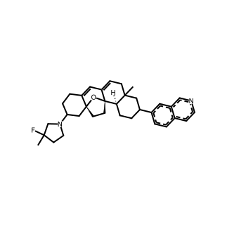 CC1(F)CCN(C2CCC3=CC4=CCC5(C)CC(c6ccc7ccncc7c6)CC[C@H]5[C@@]45CC[C@]3(C2)O5)C1